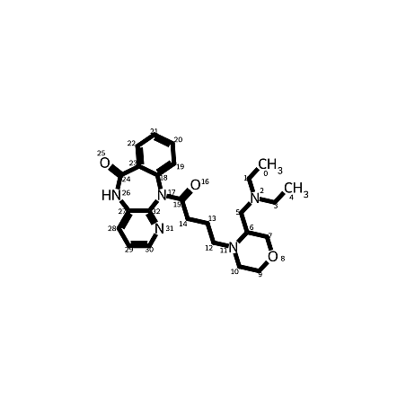 CCN(CC)CC1COCCN1CCCC(=O)N1c2ccccc2C(=O)Nc2cccnc21